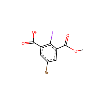 COC(=O)c1cc(Br)cc(C(=O)O)c1I